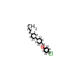 C=CCC[C@H]1CC[C@H]([C@H]2CC[C@H](COc3ccc(Cl)cc3)CC2)CC1